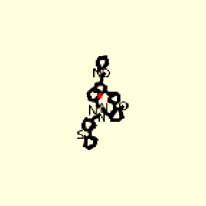 c1ccc(-c2nc(-c3ccc4sc5ccccc5c4c3)nc(-c3cccc4oc5ccc(-c6cccc(-c7nc8ccccc8o7)c6)cc5c34)n2)cc1